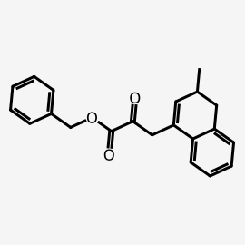 CC1C=C(CC(=O)C(=O)OCc2ccccc2)c2ccccc2C1